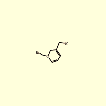 BrCC1=CC=CN(CBr)C1